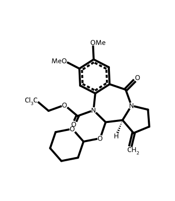 C=C1CCN2C(=O)c3cc(OC)c(OC)cc3N(C(=O)OCC(Cl)(Cl)Cl)C(OC3CCCCO3)[C@H]12